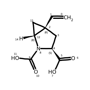 C=C[C@@]12C[C@@H](C(=O)O)N(C(=O)O)[C@@H]1C2